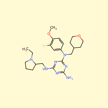 CCN1CCCC1CNc1nc(N)nc(N(CC2CCOCC2)c2ccc(OC)c(F)c2)n1